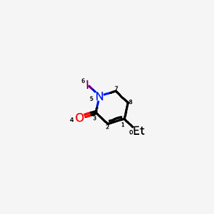 CCC1=CC(=O)N(I)CC1